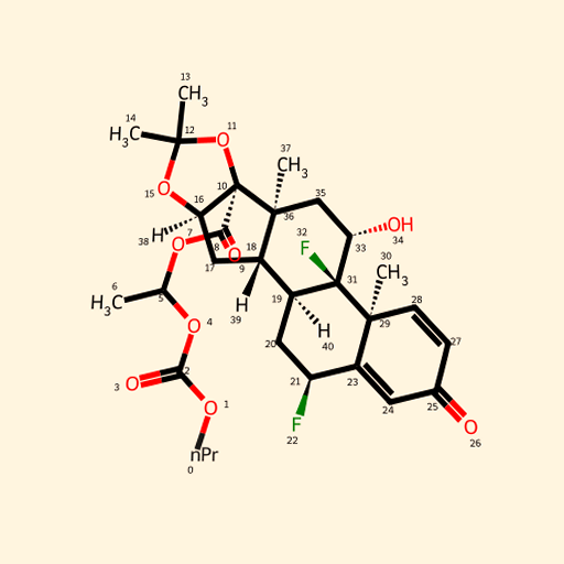 CCCOC(=O)OC(C)OC(=O)[C@@]12OC(C)(C)O[C@@H]1C[C@H]1[C@@H]3C[C@H](F)C4=CC(=O)C=C[C@]4(C)[C@@]3(F)[C@@H](O)C[C@@]12C